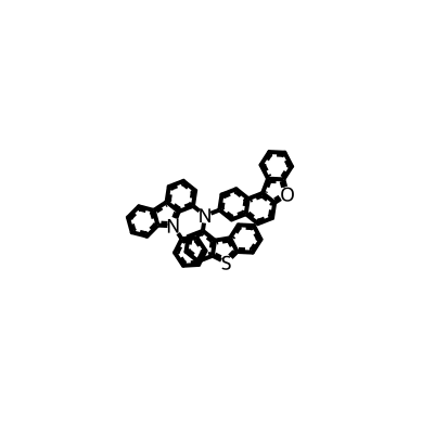 c1ccc(-n2c3ccccc3c3cccc(N(c4ccc5c(ccc6oc7ccccc7c65)c4)c4cccc5sc6ccccc6c45)c32)cc1